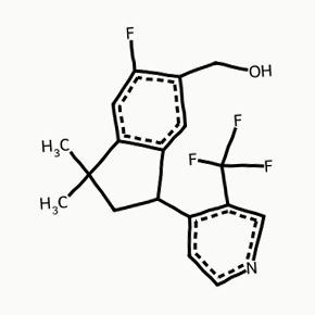 CC1(C)CC(c2ccncc2C(F)(F)F)c2cc(CO)c(F)cc21